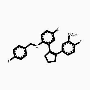 O=C(O)c1cc(C2=C(c3cc(Cl)ccc3OCc3ccc(F)cc3)CCC2)ccc1F